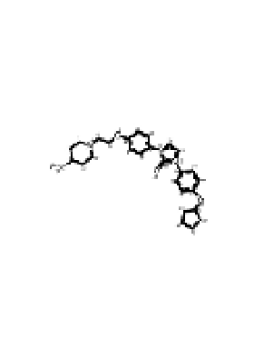 CC1CCN(CCOc2ccc(-n3ccn(-c4ccc(OC5CCCC5)cc4)c3=O)cc2)CC1